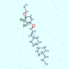 CCCOc1ccc(OC/C=C/C2CCC([C@H]3CC[C@H](CCC)CC3)CC2)c(F)c1F